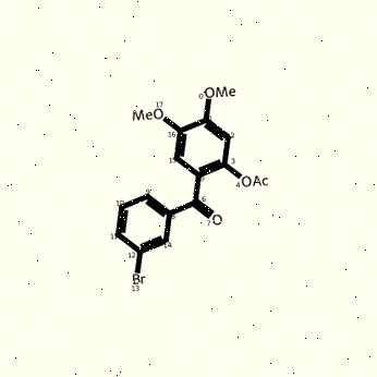 COc1cc(OC(C)=O)c(C(=O)c2cccc(Br)c2)cc1OC